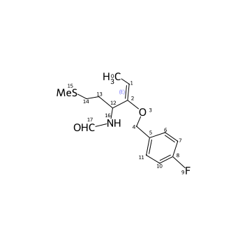 C/C=C(/OCc1ccc(F)cc1)C(CCSC)NC=O